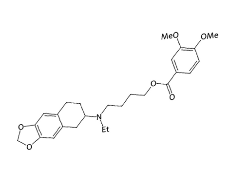 CCN(CCCCOC(=O)c1ccc(OC)c(OC)c1)C1CCc2cc3c(cc2C1)OCO3